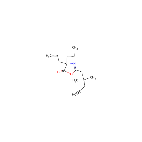 C#CCC(C)(C)CC1=NC(CC=C)(CC=C)C(=O)O1